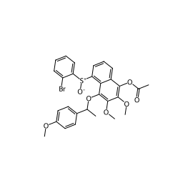 COc1ccc(C(C)Oc2c(OC)c(OC)c(OC(C)=O)c3cccc([S+]([O-])c4ccccc4Br)c23)cc1